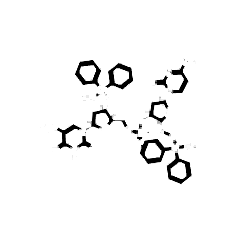 Cc1cn([C@H]2C[C@H](O[Si](c3ccccc3)(c3ccccc3)C(C)(C)C)[C@@H](CO[P@](O)(=S)O[C@H]3C[C@H](n4ccc(N)nc4=O)O[C@@H]3CO[Si](c3ccccc3)(c3ccccc3)C(C)(C)C)O2)c(=O)[nH]c1=O